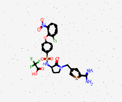 N=C(N)c1cc(CN2CCC(NS(=O)(=O)c3ccc(Oc4c(Cl)cccc4[N+](=O)[O-])cc3)C2=O)cs1.O=C(O)C(F)(F)F